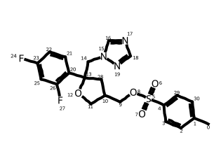 Cc1ccc(S(=O)(=O)OCC2COC(Cn3cncn3)(c3ccc(F)cc3F)C2)cc1